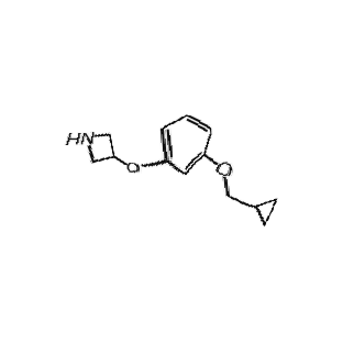 c1cc(OCC2CC2)cc(OC2CNC2)c1